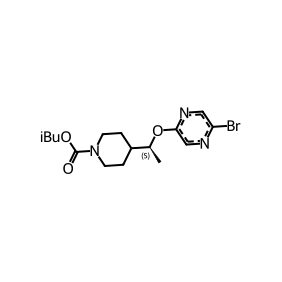 CC(C)COC(=O)N1CCC([C@H](C)Oc2cnc(Br)cn2)CC1